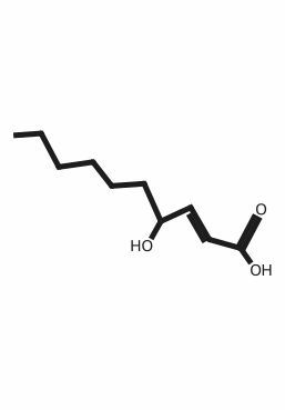 CCCCCCC(O)C=CC(=O)O